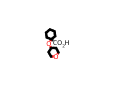 O=C(O)C1(OC2CCOCC2)CCCCC1